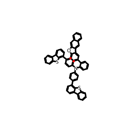 c1ccc(N(c2ccc(-c3cccc4c3sc3ccccc34)cc2)c2ccc(-c3cccc4c3sc3ccccc34)cc2)c(-c2ccc3oc4cc5ccccc5cc4c3c2)c1